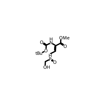 COC(=O)C(=CC[PH](=O)CO)NC(=O)OC(C)(C)C